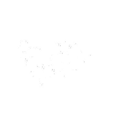 CN1CCC2(CN(Cc3cc(C(F)(F)F)c4cn(-c5cccc([C@H](c6nncn6C)C6CCC6)c5)c(=O)n4c3)C2)C1=O